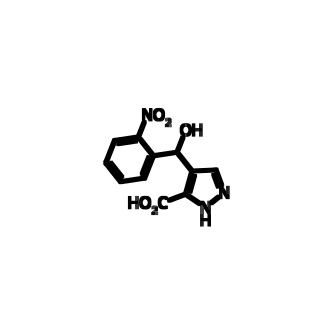 O=C(O)c1[nH]ncc1C(O)c1ccccc1[N+](=O)[O-]